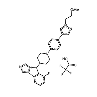 COCCn1cc(-c2ccc(N3CCC(C4c5c(F)cccc5-c5cncn54)CC3)cc2)cn1.O=C(O)C(F)(F)F